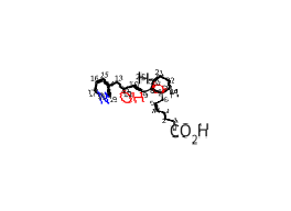 O=C(O)CCC/C=C\C[C@H]1[C@@H](/C=C/C(O)Cc2cccnc2)[C@@H]2CC[C@H]1O2